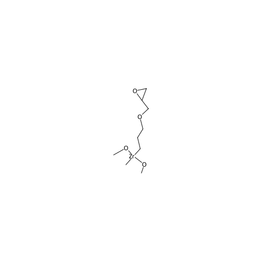 C[O][Zr]([CH3])([CH2]CCOCC1CO1)[O]C